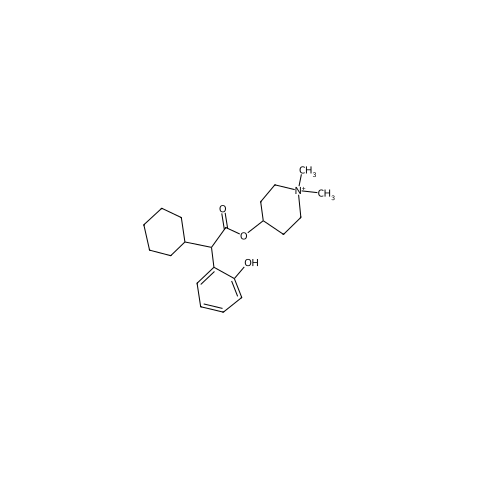 C[N+]1(C)CCC(OC(=O)C(c2ccccc2O)C2CCCCC2)CC1